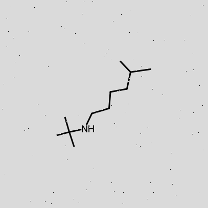 CC(C)CCCCNC(C)(C)C